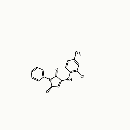 Cc1ccc(NC2=CC(=O)N(c3ccccc3)C2=O)c(Cl)c1